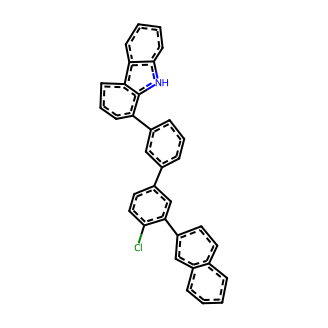 Clc1ccc(-c2cccc(-c3cccc4c3[nH]c3ccccc34)c2)cc1-c1ccc2ccccc2c1